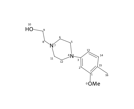 COc1cc(N2CCN(CCO)CC2)ccc1C